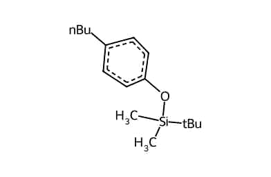 C[CH]CCc1ccc(O[Si](C)(C)C(C)(C)C)cc1